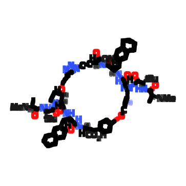 CN[C@@H](C)C(=O)N[C@H](C(=O)N[C@H]1C/C=C/COc2ccc(cc2)C[C@H](C(=O)O)NC(=O)[C@H](Cc2ccc3ccccc3c2)NC(=O)[C@@H]2[C@@H](CCN2C(=O)[C@@H](NC(=O)[C@H](C)NC)C(C)(C)C)OCc2cn(nn2)CC[C@@H](C(=O)OC)NC(=O)[C@H](Cc2ccc3ccccc3c2)NC1=O)C(C)(C)C